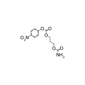 NC(=O)OCCCOC(=O)Oc1ccc([N+](=O)[O-])cc1